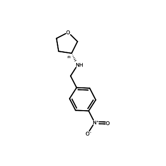 O=[N+]([O-])c1ccc(CN[C@@H]2CCOC2)cc1